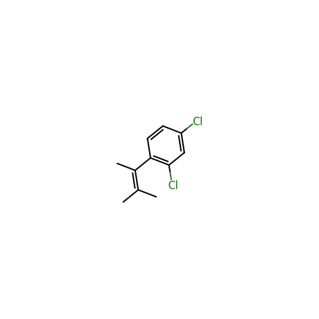 CC(C)=C(C)c1ccc(Cl)cc1Cl